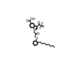 CCCCCCCCc1ccccc1OCC(=O)Cn1cc(C(=O)C(F)(F)F)c2cc(C(=O)O)ccc21